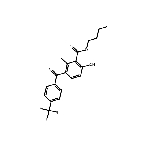 CCCCOC(=O)c1c(O)ccc(C(=O)c2ccc(C(F)(F)F)cc2)c1C